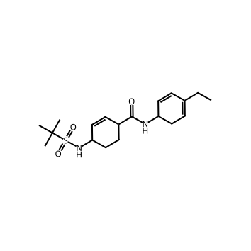 CCC1=CCC(NC(=O)C2C=CC(NS(=O)(=O)C(C)(C)C)CC2)C=C1